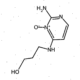 Nc1nccc(NCCCO)[n+]1[O-]